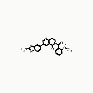 CC(c1ccccc1OC(F)(F)F)N1CCc2ncc(-c3ccn4nc(N)nc4c3)cc2C1=O